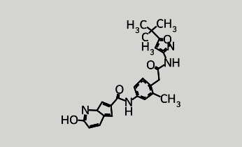 Cc1cc(NC(=O)C2=CC3N=C(O)C=CC3=C2)ccc1CC(=O)Nc1cc(C(C)(C)C)on1